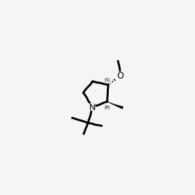 CO[C@H]1CCN(C(C)(C)C)[C@@H]1C